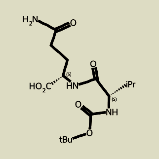 CC(C)[C@H](NC(=O)OC(C)(C)C)C(=O)N[C@@H](CCC(N)=O)C(=O)O